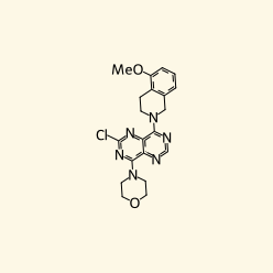 COc1cccc2c1CCN(c1ncnc3c(N4CCOCC4)nc(Cl)nc13)C2